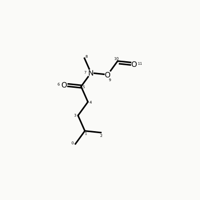 CC(C)CCC(=O)N(C)OC=O